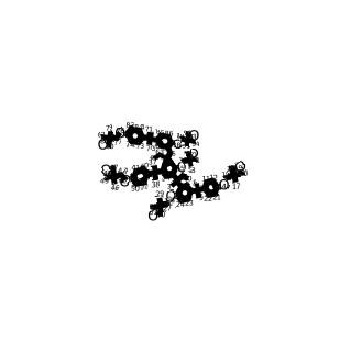 CCC(C)(c1cc(C(C)(C)c2ccc(OCC3(C)COC3)cc2)ccc1OCC1(C)COC1)c1cc(C(C)(C)c2ccc(OCC3(C)COC3)cc2)c2c(c1OCC1(C)COC1)C2(CC)Cc1cc(C(C)(C)c2ccc(OCC3(C)COC3)cc2)ccc1OCC1(C)COC1